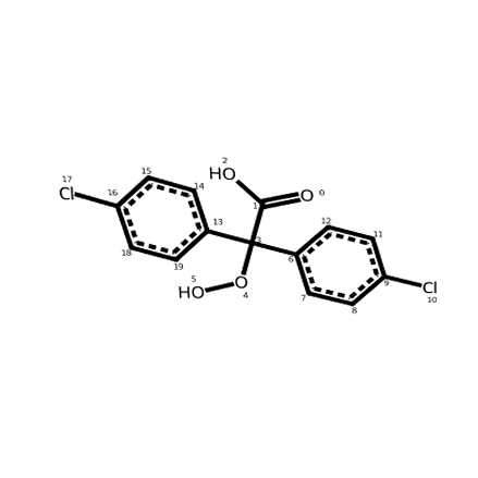 O=C(O)C(OO)(c1ccc(Cl)cc1)c1ccc(Cl)cc1